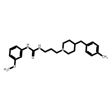 COc1cccc(NC(=O)NCCCN2CCC(Cc3ccc(C)cc3)CC2)c1